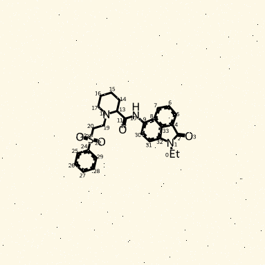 CCN1C(=O)c2cccc3c(NC(=O)C4CCCCN4CCS(=O)(=O)c4ccccc4)ccc1c23